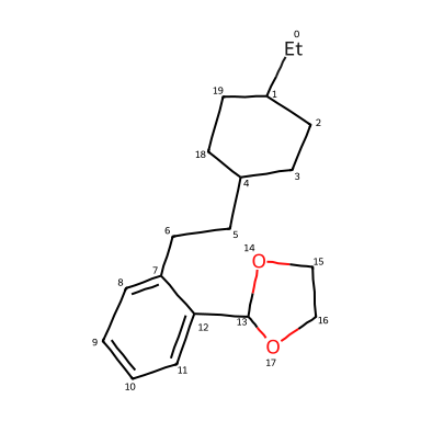 CCC1CCC(CCc2ccccc2C2OCCO2)CC1